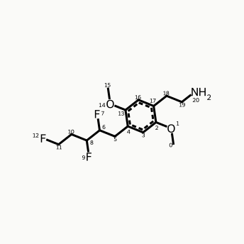 COc1cc(CC(F)C(F)CCF)c(OC)cc1CCN